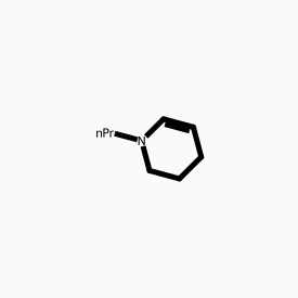 CCCN1C=CCCC1